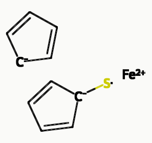 [Fe+2].[S][c-]1cccc1.c1cc[cH-]c1